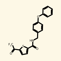 O=C(NCc1ccc(Oc2ccccc2)cc1)c1ccc(C(=O)C(F)(F)F)s1